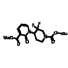 COC(=O)c1cccn(C2CCN(C(=O)OC(C)(C)C)CC2(F)F)c1=O